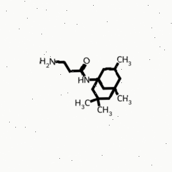 CC1CC2(C)CC(C)(C)CC(NC(=O)CCN)(C1)C2